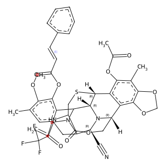 C=CCN1C2c3c(cc(C)c(OC)c3OC(=O)/C=C/c3ccccc3)CC1[C@H](C#N)N1[C@H]2[C@@H]2SCC(NC(=O)C(F)(F)F)C(=O)OC[C@H]1c1c3c(c(C)c(OC(C)=O)c12)OCO3